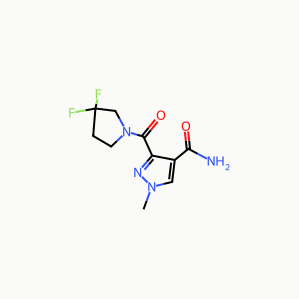 Cn1cc(C(N)=O)c(C(=O)N2CCC(F)(F)C2)n1